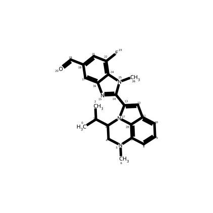 CC(C)C1CN(C)c2cccc3cc(-c4nc5cc(C=O)cc(F)c5n4C)n1c23